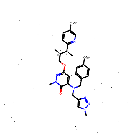 COc1ccc(CN(Cc2cn(C)nn2)c2cc(OC[C@@H](C)[C@H](C)c3ccc(OC)cn3)nn(C)c2=O)cc1